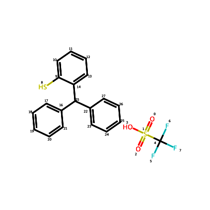 O=S(=O)(O)C(F)(F)F.Sc1ccccc1C(c1ccccc1)c1ccccc1